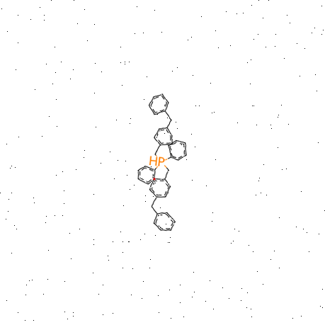 c1ccc(Cc2ccc(C[PH](Cc3ccc(Cc4ccccc4)cc3)(c3ccccc3)c3ccccc3)cc2)cc1